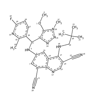 COc1c(C(Nc2cc(C#N)c3ncc(C#N)c(NCC(C)(C)C)c3c2)c2ccc(F)nc2C)nnn1C